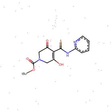 CC(C)(C)OC(=O)N1CC(=O)C(C(=S)Nc2ccccn2)=C(O)C1